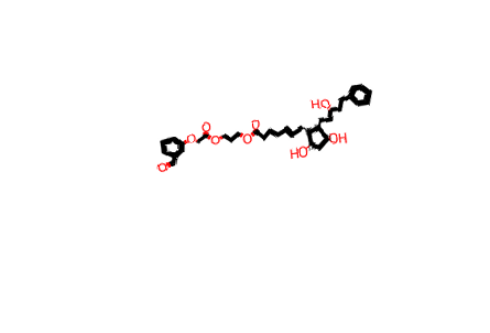 O=Cc1cccc(OCC(=O)OCCCOC(=O)CCCC=CC[C@@H]2[C@@H](CCC(O)CCc3ccccc3)[C@H](O)C[C@@H]2O)c1